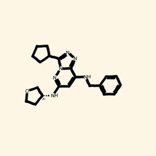 c1ccc(CNc2cc(N[C@@H]3CCOC3)nn3c(C4CCCC4)nnc23)cc1